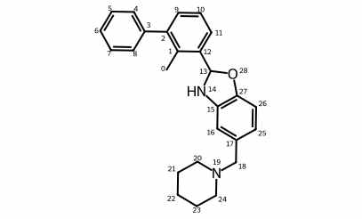 Cc1c(-c2ccccc2)cccc1C1Nc2cc(CN3CCCCC3)ccc2O1